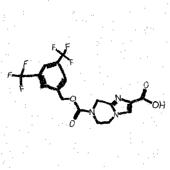 O=C(O)c1cn2c(n1)CN(C(=O)OCc1cc(C(F)(F)F)cc(C(F)(F)F)c1)CC2